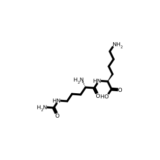 NCCCC[C@H](NC(=O)[C@@H](N)CCCNC(N)=O)C(=O)O